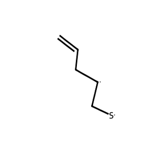 C=CC[CH]C[S]